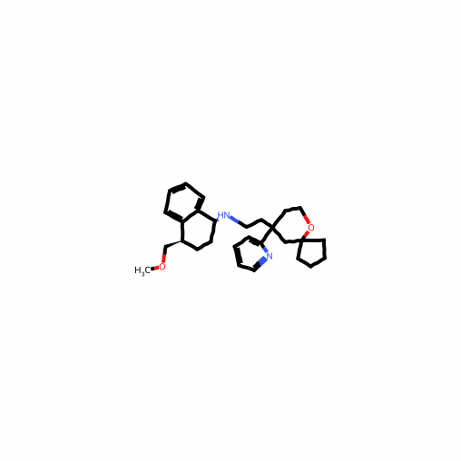 COC[C@@H]1CC[C@H](NCCC2(c3ccccn3)CCOC3(CCCC3)C2)c2ccccc21